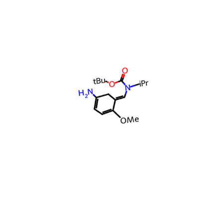 COC1=CC=C(N)CC1=CN(C(=O)OC(C)(C)C)C(C)C